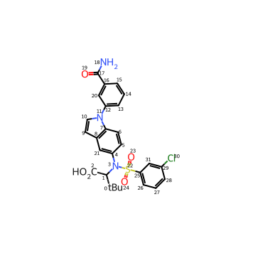 CC(C)(C)C(C(=O)O)N(c1ccc2c(ccn2-c2cccc(C(N)=O)c2)c1)S(=O)(=O)c1cccc(Cl)c1